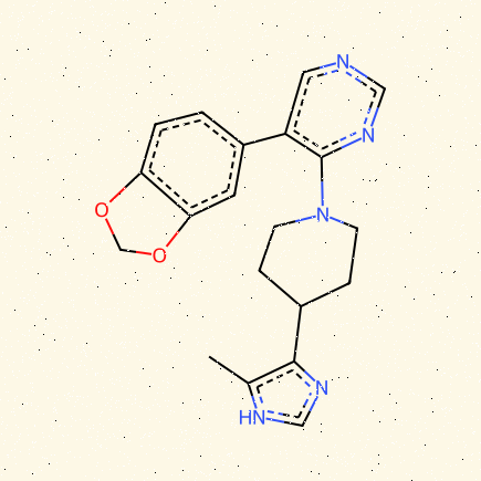 Cc1[nH]cnc1C1CCN(c2ncncc2-c2ccc3c(c2)OCO3)CC1